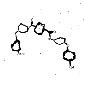 COc1ccc(CN2CCN(C(=O)c3ccc(C(=O)NC4CCC(Oc5ccc(C#N)cc5)CC4)nc3)CC2)cc1